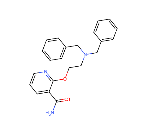 NC(=O)c1cccnc1OCCN(Cc1ccccc1)Cc1ccccc1